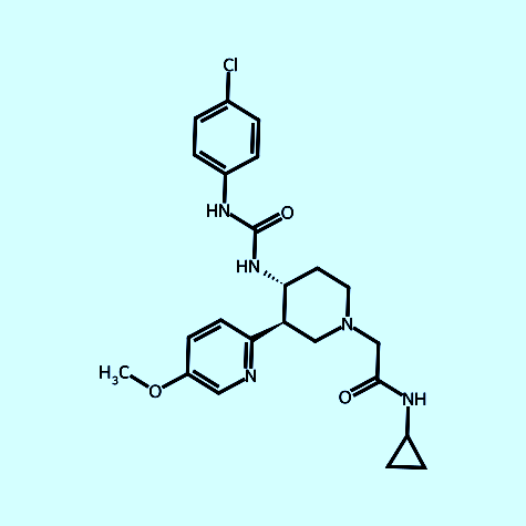 COc1ccc([C@@H]2CN(CC(=O)NC3CC3)CC[C@H]2NC(=O)Nc2ccc(Cl)cc2)nc1